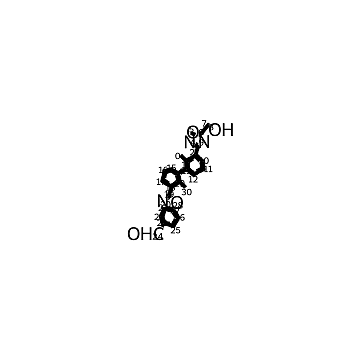 Cc1c(-c2noc(CO)n2)cccc1-c1cccc(-c2nc3cc(C=O)ccc3o2)c1C